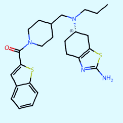 CCCN(CC1CCN(C(=O)c2cc3ccccc3s2)CC1)[C@H]1CCc2nc(N)sc2C1